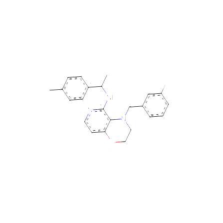 Cc1ccc(C(C)Nc2nccc3c2N(Cc2cccc(F)c2)CCO3)cc1